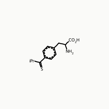 CC(C)C(=S)c1ccc(CC(N)C(=O)O)cc1